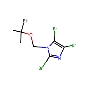 C[CH]C(C)(C)OCn1c(Br)nc(Br)c1Br